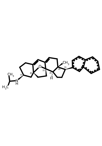 CC(C)N[C@H]1CCC2=CC3=CC[C@]4(C)[C@@H](c5ccc6ccccc6c5)CC[C@H]4[C@@]34CC[C@]2(C1)O4